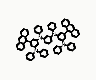 c1ccc(N(c2ccccc2)c2cc(-c3c4ccccc4cc4ccccc34)cc(N(c3ccccc3)c3cccc(N(c4ccccc4)c4cc(-c5c6ccccc6cc6ccccc56)cc(N(c5ccccc5)c5ccccc5)c4)c3)c2)cc1